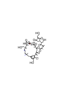 C/C1=C\C=C\[C@@H](CO)C2C[C@H](OC(=O)N2)[C@@H](C)[C@@H]2O[C@@]2(C)[C@@H](OC(=O)[C@@H](C)N(C)C(=O)C(CS)C2CC(=O)N(CCO)C2=O)CC(=O)N(C)c2cc(cc(CO)c2Cl)C1